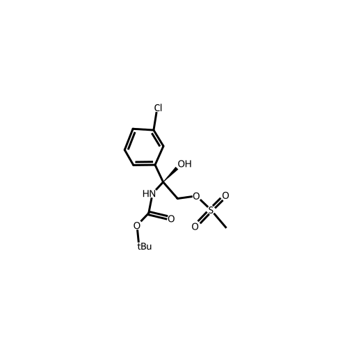 CC(C)(C)OC(=O)N[C@@](O)(COS(C)(=O)=O)c1cccc(Cl)c1